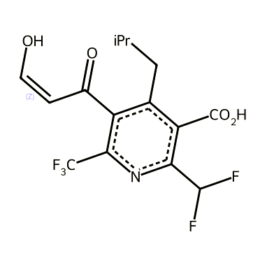 CC(C)Cc1c(C(=O)O)c(C(F)F)nc(C(F)(F)F)c1C(=O)/C=C\O